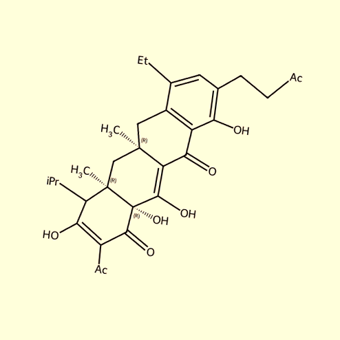 CCc1cc(CCC(C)=O)c(O)c2c1C[C@]1(C)C[C@]3(C)C(C(C)C)C(O)=C(C(C)=O)C(=O)[C@]3(O)C(O)=C1C2=O